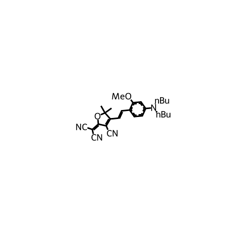 CCCCN(CCCC)c1ccc(/C=C/C2=C(C#N)C(=C(C#N)C#N)OC2(C)C)c(OC)c1